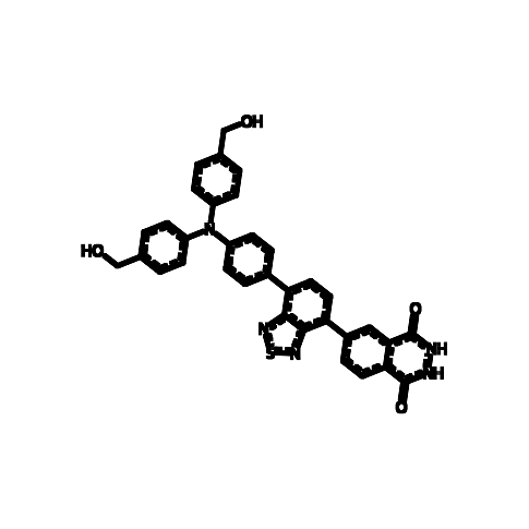 O=c1[nH][nH]c(=O)c2cc(-c3ccc(-c4ccc(N(c5ccc(CO)cc5)c5ccc(CO)cc5)cc4)c4nsnc34)ccc12